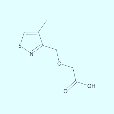 Cc1csnc1COCC(=O)O